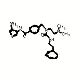 CN(C)CCN(Cc1ccc(C(=O)Nc2cscc2N)cc1)C(=O)NCCc1ccccc1